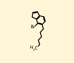 CCCCCCc1ccc2c(c1Br)CC=C2